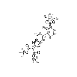 CC(C)(C)OC(=O)N(C(=O)OC(C)(C)C)c1nc2cc(-c3cccc(B4OC(C)(C)C(C)(C)O4)c3F)ccn2n1